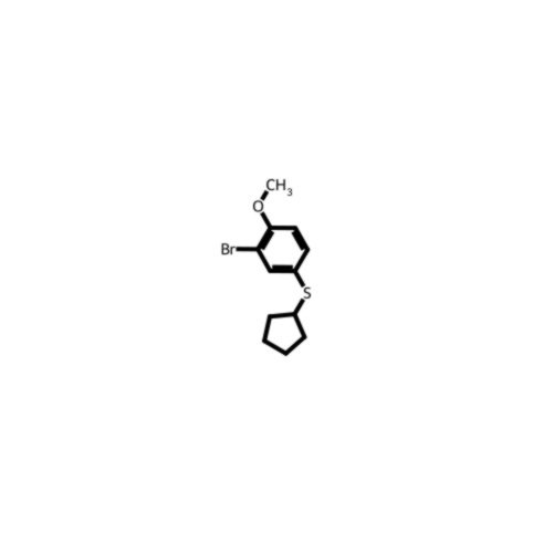 COc1ccc(SC2CCCC2)cc1Br